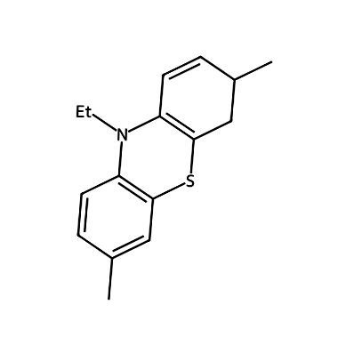 CCN1C2=C(CC(C)C=C2)Sc2cc(C)ccc21